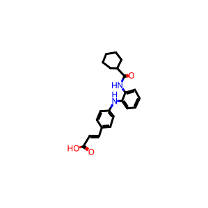 O=C(O)/C=C/c1ccc(Nc2ccccc2NC(=O)C2CCCCC2)cc1